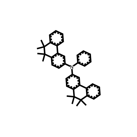 CC1(C)c2ccccc2-c2cc(N(c3ccccc3)c3ccc4c(c3)-c3ccccc3C(C)(C)C4(C)C)ccc2C1(C)C